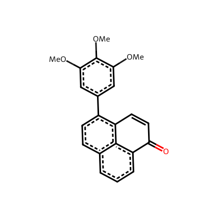 COc1cc(-c2ccc3cccc4c3c2C=CC4=O)cc(OC)c1OC